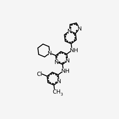 Cc1cc(Cl)cc(Nc2nc(Nc3ccn4ccnc4c3)cc(N3CCCCC3)n2)n1